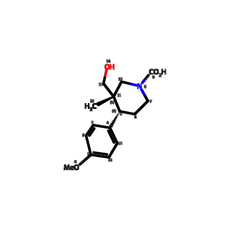 COc1ccc([C@H]2CCN(C(=O)O)C[C@@]2(C)CO)cc1